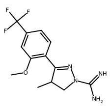 COc1cc(C(F)(F)F)ccc1C1=NN(C(=N)N)CC1C